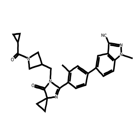 Cc1cc(-c2ccc3c(c2)c(C#N)nn3C)ccc1C1=NC2(CC2)C(=O)N1CC1CN(C(=O)C2CC2)C1